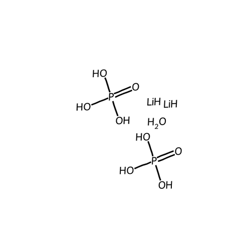 O.O=P(O)(O)O.O=P(O)(O)O.[LiH].[LiH]